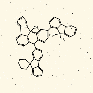 CC1(C)c2ccccc2-c2cccc(-c3ccc(N(c4ccc5c(c4)C4(CCCCC4)c4ccccc4-5)c4cccc5c4C(C)(C)c4ccccc4-5)cc3)c21